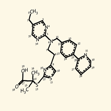 CCc1cnc(N(CCc2csc(SC(C)(C)C(=O)O)n2)Cc2ccc(-c3ccccn3)cc2)nc1